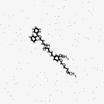 COCCOCOc1ccc(C=CC=CC(=O)NCCCOC(c2ccccc2)c2ccccc2)cc1OC